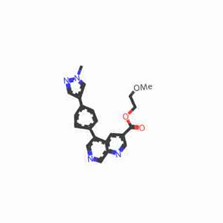 COCCOC(=O)c1cnc2cncc(-c3ccc(-c4cnn(C)c4)cc3)c2c1